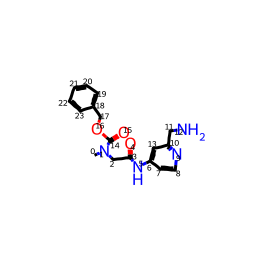 CN(CC(=O)Nc1ccnc(CN)c1)C(=O)OCc1ccccc1